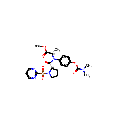 C[C@@H](C(=O)OC(C)(C)C)N(C(=O)[C@@H]1CCCN1S(=O)(=O)c1ncccn1)c1ccc(OC(=O)N(C)C)cc1